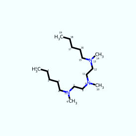 CCCCCN(C)CCN(C)CCN(C)CCCCC